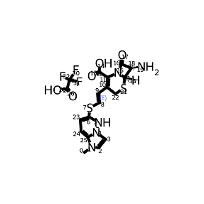 CN1C=CN2NC(S/C=C/C3=C(C(=O)O)N4C(=O)[C@@H](N)[C@@H]4SC3)=CC=C12.O=C(O)C(F)(F)F